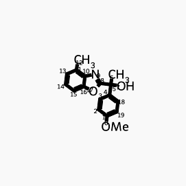 COc1ccc(C(C)(O)c2nc3c(C)cccc3o2)cc1